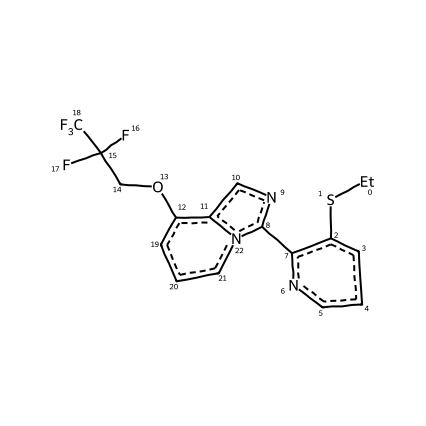 CCSc1cccnc1-c1ncc2c(OCC(F)(F)C(F)(F)F)cccn12